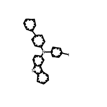 Ic1ccc(N(c2ccc(-c3ccccc3)cc2)c2ccc3sc4ccccc4c3c2)cc1